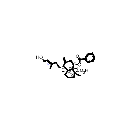 C=C1C[C@@H](OC(=O)c2ccccc2)[C@@H]2[C@](C)(CCC[C@@]2(C)C(=O)O)[C@@H]1CC/C(C)=C/CO